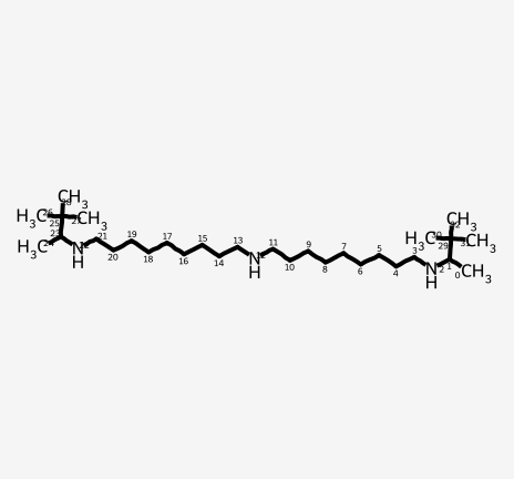 CC(NCCCCCCCCCNCCCCCCCCCNC(C)C(C)(C)C)C(C)(C)C